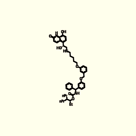 CCCC(CCC)[C@H](CC)OC(=O)NC(c1ccccc1)c1cccc(OCc2cccc(OCCCCCNC[C@H](O)c3ccc(O)c4[nH]c(=O)ccc34)c2)c1